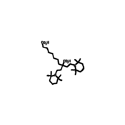 CC1(C)CCCC(C)(C)N1CCC(CCCCCCCC(=O)O)(CCN1C(C)(C)CCCC1(C)C)C(=O)O